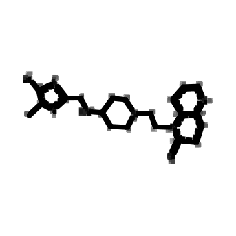 Cc1nc(CNC2CCN(CCn3c(=O)ccc4ncccc43)CC2)sc1Br